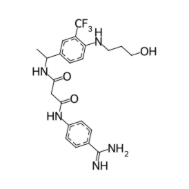 CC(NC(=O)CC(=O)Nc1ccc(C(=N)N)cc1)c1ccc(NCCCO)c(C(F)(F)F)c1